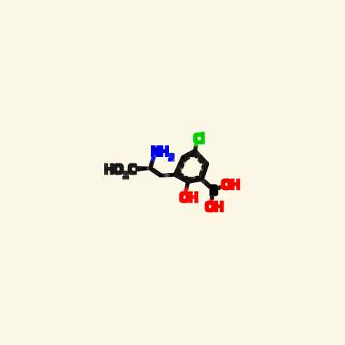 N[C@@H](Cc1cc(Cl)cc(B(O)O)c1O)C(=O)O